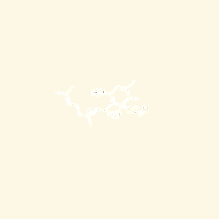 CC(C)=CCC/C(C)=C/CC1=C(O)C=C(C)C(C)C1(O)C(=O)O